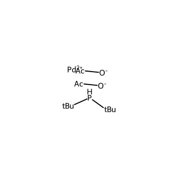 CC(=O)[O-].CC(=O)[O-].CC(C)(C)PC(C)(C)C.[Pd+2]